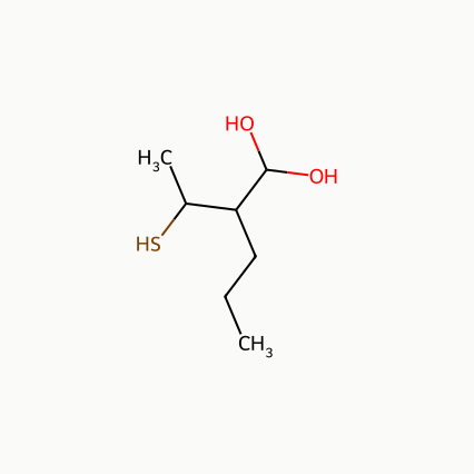 CCCC(C(O)O)C(C)S